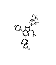 C[C@@H]1CN(c2nc3c(N4CCOCC4)nc(-c4cnc(N)nc4)nc3n2CC2CC2)C[C@H](C)N1S(C)(=O)=O